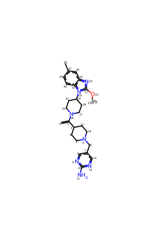 C=C(C1CCN(Cc2cnc(N)nc2)CC1)N1CCC(n2c(OC(C)C)nc3cc(C)ccc32)CC1